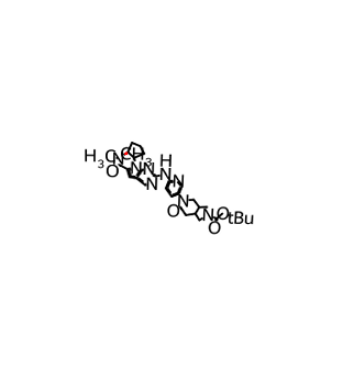 CN(C)C(=O)c1cc2cnc(Nc3ccc(N4CC5CN(C(=O)OC(C)(C)C)CC5CC4=O)cn3)nc2n1C1CCCC1